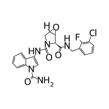 NC(=O)n1cc(NC(=O)N2C[C@@H]3OC3[C@H]2C(=O)NCc2cccc(Cl)c2F)c2ccccc21